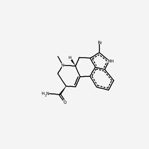 CN1C[C@H](C(N)=O)C=C2c3cccc4[nH]c(Br)c(c34)C[C@H]21